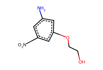 Nc1cc(OCCO)cc([N+](=O)[O-])c1